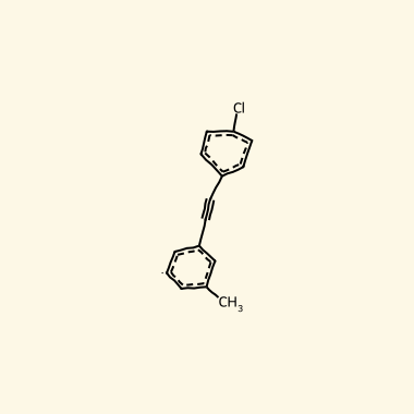 Cc1c[c]cc(C#Cc2ccc(Cl)cc2)c1